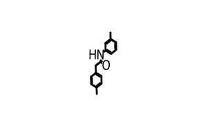 Cc1ccc(CC(=O)Nc2cccc(C)c2)cc1